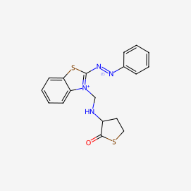 O=C1SCCC1NC[n+]1c(/N=N/c2ccccc2)sc2ccccc21